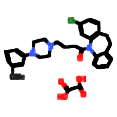 COc1cccc(N2CCN(CCCC(=O)N3c4ccccc4CCc4ccc(Cl)cc43)CC2)c1.O=C(O)C(=O)O